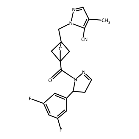 Cc1cnn(CC23CC(C(=O)N4N=CCC4c4cc(F)cc(F)c4)(C2)C3)c1C#N